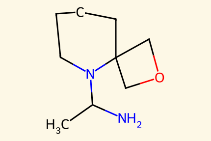 CC(N)N1CCCCC12COC2